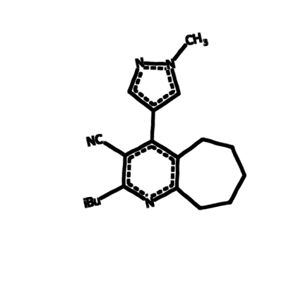 CCC(C)c1nc2c(c(-c3cnn(C)c3)c1C#N)CCCCC2